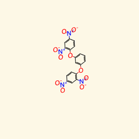 O=[N+]([O-])c1ccc(Oc2cccc(Oc3ccc([N+](=O)[O-])cc3[N+](=O)[O-])c2)c([N+](=O)[O-])c1